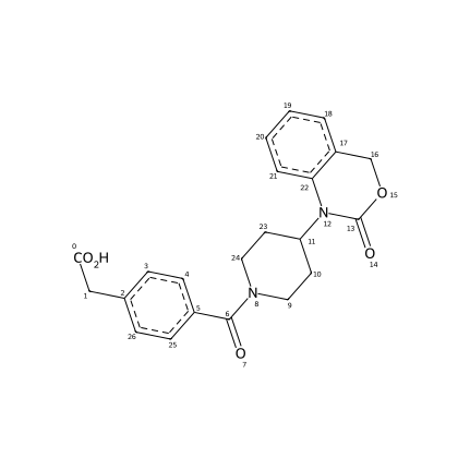 O=C(O)Cc1ccc(C(=O)N2CCC(N3C(=O)OCc4ccccc43)CC2)cc1